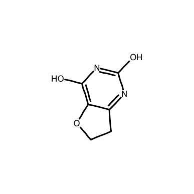 Oc1nc(O)c2c(n1)CCO2